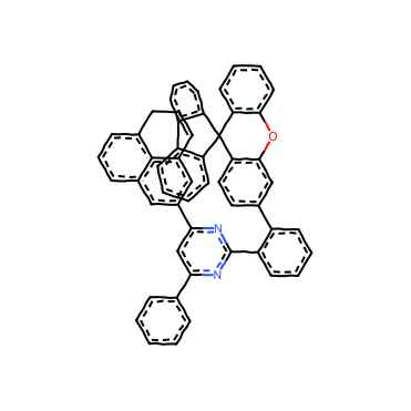 C1=Cc2cc(-c3cc(-c4ccccc4)nc(-c4ccccc4-c4ccc5c(c4)Oc4ccccc4C54c5ccccc5-c5ccccc54)n3)cc3cccc(c23)C1